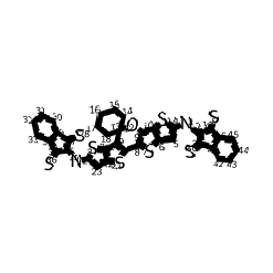 S=c1c(=Nc2cc3sc4c(c3s2)OC2(CCCCC2)c2c-4sc3cc(N=c4c(=S)c5ccccc5c4=S)sc23)c(=S)c2ccccc12